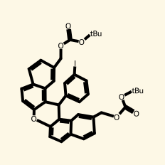 CC(C)(C)OC(=O)OCc1ccc2ccc3c(c2c1)C(c1cccc(I)c1)c1c(ccc2ccc(COC(=O)OC(C)(C)C)cc12)O3